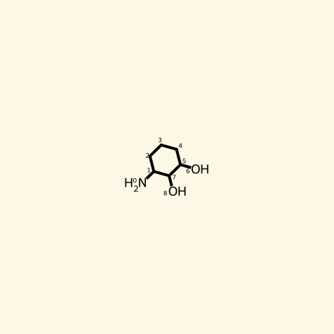 NC1CCCC(O)C1O